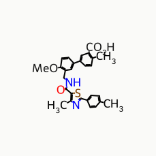 COc1ccc(-c2ccc(C)c(C(=O)O)c2)cc1CNC(=O)c1sc(-c2ccc(C)cc2)nc1C